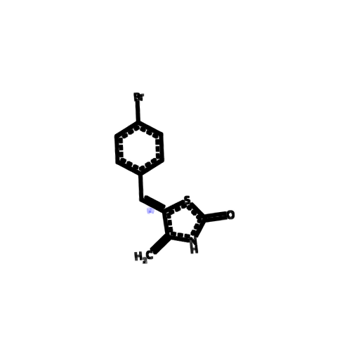 C=c1[nH]c(=O)s/c1=C\c1ccc(Br)cc1